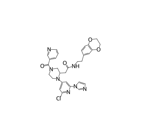 O=C(CC1CN(C(=O)c2cccnc2)CCN1c1cc(Cl)nc(-n2ccnc2)c1)NCCc1ccc2c(c1)OCCO2